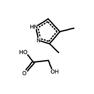 Cc1c[nH]nc1C.O=C(O)CO